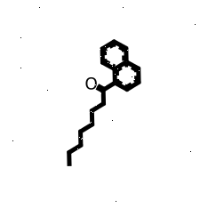 CCCCCCCC(=O)c1cccc2ccccc12